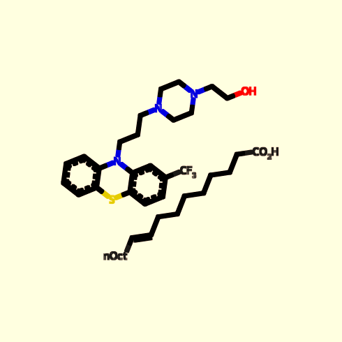 CCCCCCCCC=CCCCCCCCC(=O)O.OCCN1CCN(CCCN2c3ccccc3Sc3ccc(C(F)(F)F)cc32)CC1